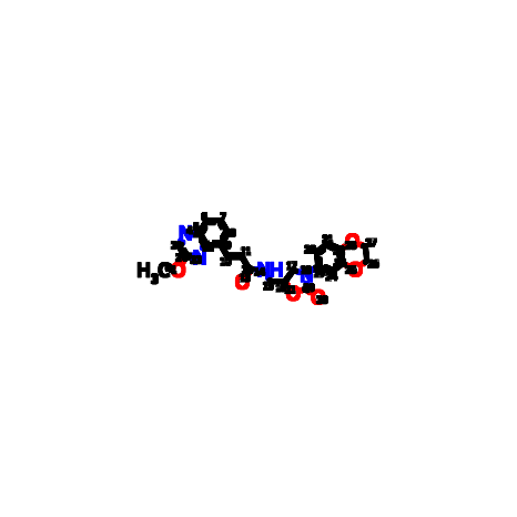 COc1cnc2cccc(C=CC(=O)NCC3CN(c4ccc5c(c4)OCCO5)C(=O)O3)c2n1